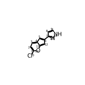 Clc1ccc2cc(-c3c[c][nH]n3)cc-2o1